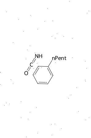 CCCCCc1ccccc1.N=C=O